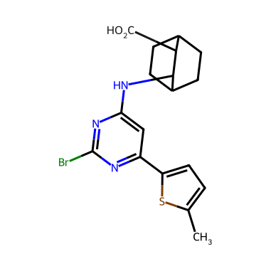 Cc1ccc(-c2cc(NC3C4CCC(CC4)C3C(=O)O)nc(Br)n2)s1